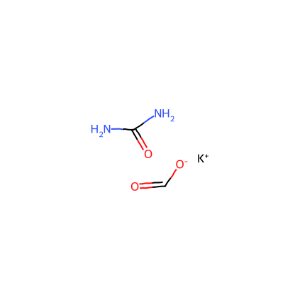 NC(N)=O.O=C[O-].[K+]